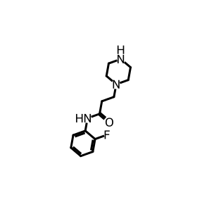 O=C(CCN1CCNCC1)Nc1ccccc1F